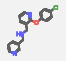 Clc1ccc(Oc2ncccc2CNCc2cccnc2)cc1